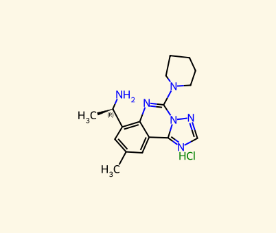 Cc1cc([C@@H](C)N)c2nc(N3CCCCC3)n3ncnc3c2c1.Cl